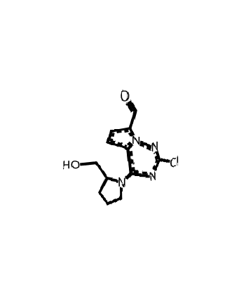 O=Cc1ccc2c(N3CCCC3CO)nc(Cl)nn12